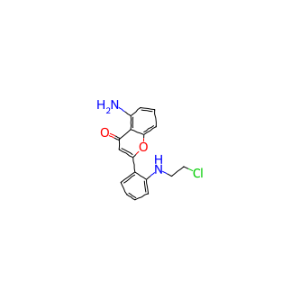 Nc1cccc2oc(-c3ccccc3NCCCl)cc(=O)c12